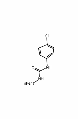 CCCCCNC(=O)Nc1ccc(Cl)cc1